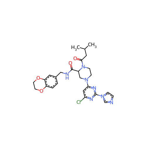 CC(C)CC(=O)N1CCN(c2cc(Cl)nc(-n3ccnc3)n2)CC1C(=O)NCc1ccc2c(c1)OCCO2